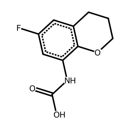 O=C(O)Nc1cc(F)cc2c1OCCC2